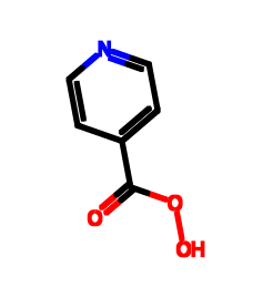 O=C(OO)c1ccncc1